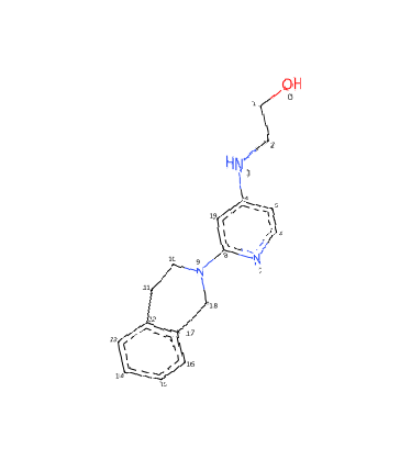 OCCNc1ccnc(N2CCc3ccccc3C2)c1